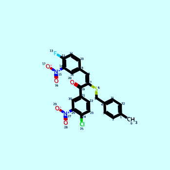 Cc1ccc(CSC(=Cc2ccc(F)c([N+](=O)[O-])c2)C(=O)c2ccc(Cl)c([N+](=O)[O-])c2)cc1